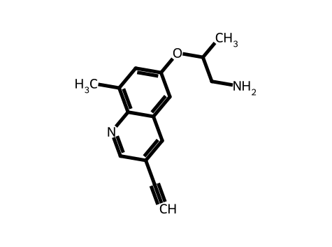 C#Cc1cnc2c(C)cc(OC(C)CN)cc2c1